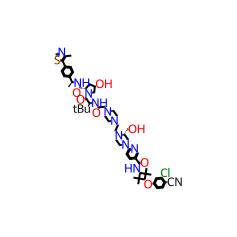 Cc1ncsc1-c1ccc([C@H](C)NC(=O)[C@@H]2C[C@@H](O)CN2C(=O)[C@@H](NC(=O)CN2CCN(CCN3CCN(c4ccc(C(=O)NC5C(C)(C)C(Oc6ccc(C#N)c(Cl)c6)C5(C)C)cn4)C[C@H]3CO)CC2)C(C)(C)C)cc1